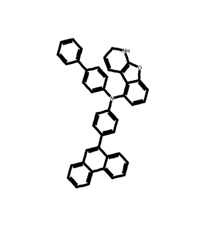 C1=Cc2c(oc3cccc(N(c4ccc(-c5ccccc5)cc4)c4ccc(-c5cc6ccccc6c6ccccc56)cc4)c23)NC1